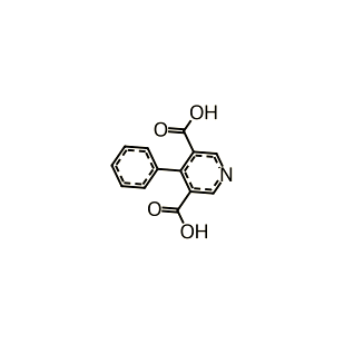 O=C(O)c1cncc(C(=O)O)c1-c1ccccc1